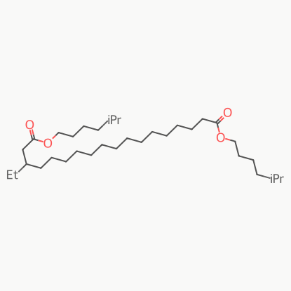 CCC(CCCCCCCCCCCCCCC(=O)OCCCCC(C)C)CC(=O)OCCCCC(C)C